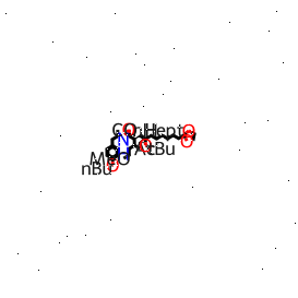 CCCCCCCC1(CCCCCCC(C[C@H](C(=O)NC(Cc2ccc(OCCCC)cc2)C(=O)O)C(CCOC)C(C)=O)OC(C)(C)C)OCCO1